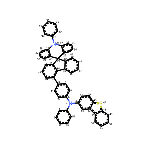 c1ccc(N(c2ccc(-c3cccc4c3-c3ccccc3C43c4ccccc4N(c4ccccc4)c4ccccc43)cc2)c2ccc3sc4ccccc4c3c2)cc1